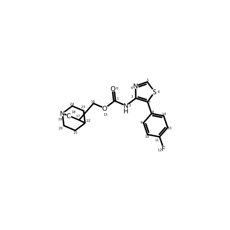 O=C(Nc1ncsc1-c1ccc(F)cc1)OCC1CN2CCC1CC2